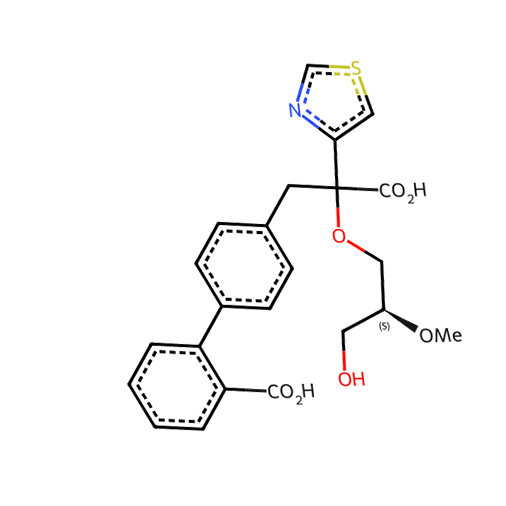 CO[C@@H](CO)COC(Cc1ccc(-c2ccccc2C(=O)O)cc1)(C(=O)O)c1cscn1